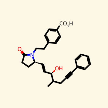 CC(CC#Cc1ccccc1)[C@H](O)/C=C/[C@H]1CCC(=O)N1CCc1ccc(C(=O)O)cc1